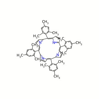 Cc1cc(C)c(C2=C3C=CC(=N3)C(c3c(C)cc(C)cc3C)=C3C=CC(=N3)C(c3c(C)cc(C)cc3C)=C3C=CC(=N3)C(c3c(C)cc(C)cc3C)=C3C=CC2=N3)c(C)c1